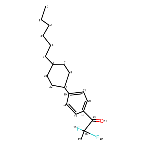 CCCCCCC1CCC(c2ccc(C(=O)C(C)(F)F)cc2)CC1